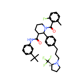 Cc1cccc(F)c1C(=O)N1CCCC(C(=O)Nc2cccc(C(C)(C)C)c2)C1c1ccc(CCCN2CCC[C@H]2C(F)(F)F)cc1